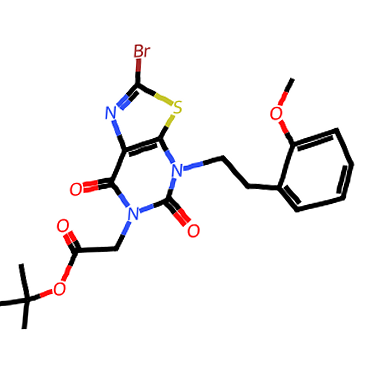 COc1ccccc1CCn1c(=O)n(CC(=O)OC(C)(C)C)c(=O)c2nc(Br)sc21